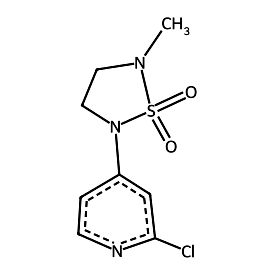 CN1CCN(c2ccnc(Cl)c2)S1(=O)=O